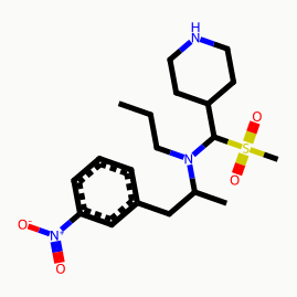 CCCN(C(C)Cc1cccc([N+](=O)[O-])c1)C(C1CCNCC1)S(C)(=O)=O